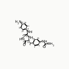 NC(=O)Nc1ccc(C[C@H](NC(=O)Nc2ccc(N)cc2)C(=O)O)cc1